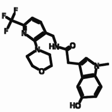 Cn1cc(CC(=O)NCc2ccc(C(F)(F)F)nc2N2CCOCC2)c2cc(O)ccc21